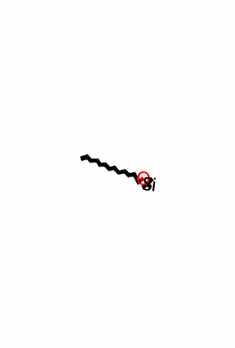 C=CCCCCCCCCCCCO[Si](C)(C)C